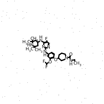 CCNC(=O)N1CCCC(Oc2ccc(Nc3ncc(F)c(NC4CC(C)(C)NC(C)(C)C4)n3)cc2OC(F)F)CC1